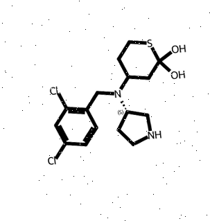 OC1(O)CC(N(Cc2ccc(Cl)cc2Cl)[C@H]2CCNC2)CCS1